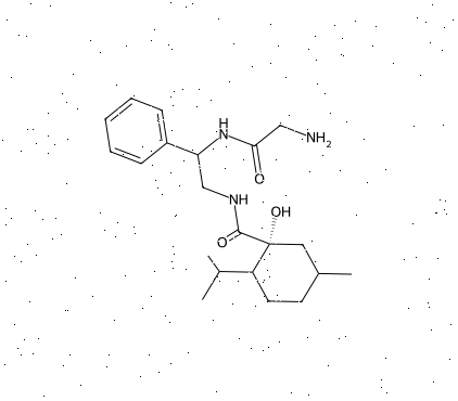 CC1CCC(C(C)C)[C@@](O)(C(=O)NCC(NC(=O)CN)c2ccccc2)C1